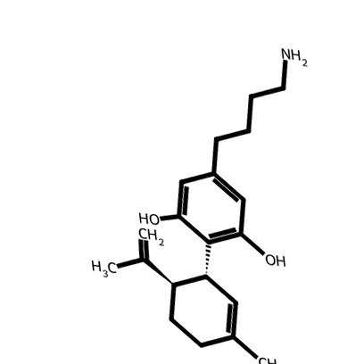 C=C(C)[C@@H]1CCC(C)=C[C@H]1c1c(O)cc(CCCCN)cc1O